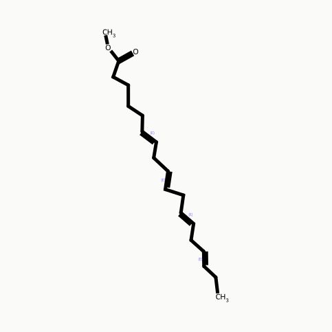 CC/C=C/C/C=C/C/C=C/C/C=C/CCCCC(=O)OC